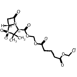 CC1(C)[C@H](C(=O)OCOC(=O)CCCC(=O)OCCl)N2C(=O)C[C@H]2S1(=O)=O